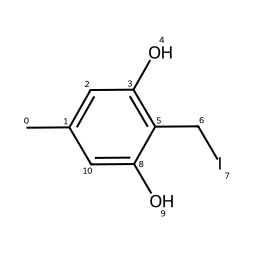 Cc1cc(O)c(CI)c(O)c1